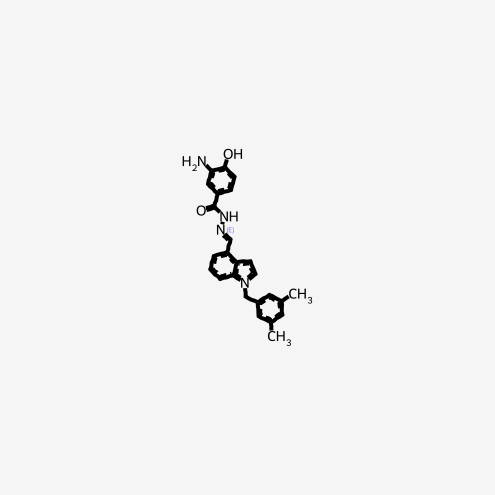 Cc1cc(C)cc(Cn2ccc3c(/C=N/NC(=O)c4ccc(O)c(N)c4)cccc32)c1